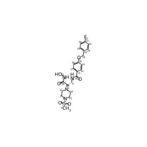 CS(=O)(=O)N1CCN([C@@H](CNC(=O)c2ccc(OCc3ccc(F)cc3)cc2)C(=O)NO)CC1